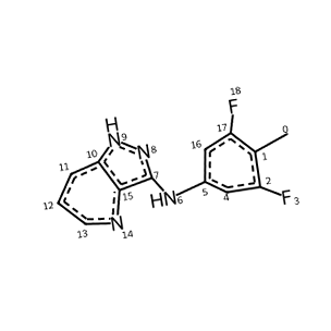 Cc1c(F)cc(Nc2n[nH]c3cccnc23)cc1F